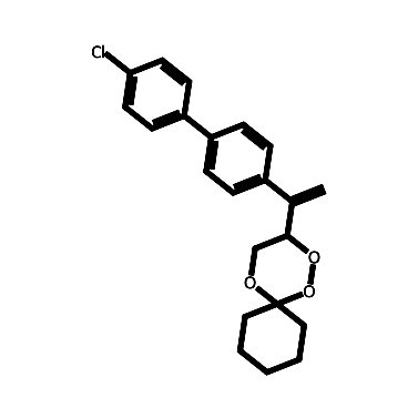 C=C(c1ccc(-c2ccc(Cl)cc2)cc1)C1COC2(CCCCC2)OO1